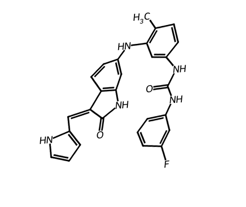 Cc1ccc(NC(=O)Nc2cccc(F)c2)cc1Nc1ccc2c(c1)NC(=O)C2=Cc1ccc[nH]1